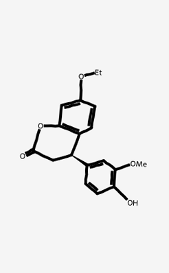 CCOc1ccc2c(c1)OC(=O)C[C@@H]2c1ccc(O)c(OC)c1